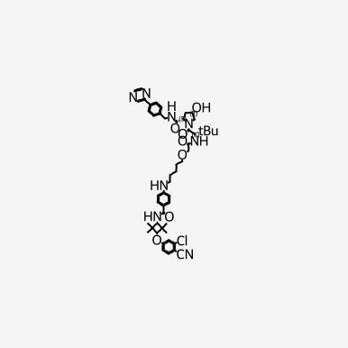 CC(C)(C)[C@H](NC(=O)COCCCCCNc1ccc(C(=O)N[C@H]2C(C)(C)[C@H](Oc3ccc(C#N)c(Cl)c3)C2(C)C)cc1)C(=O)N1C[C@H](O)C[C@H]1C(=O)NCc1ccc(-c2cnccn2)cc1